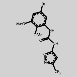 COc1cc(Br)cc(NC(=O)Nc2cc(C(F)(F)F)no2)c1OC